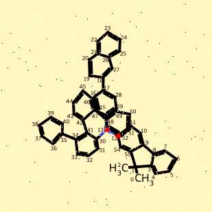 CC1(C)c2ccccc2-c2ccc(N(c3ccc(-c4ccc5ccccc5c4)cc3)c3cccc(-c4ccccc4)c3-c3ccccc3-c3ccccc3)cc21